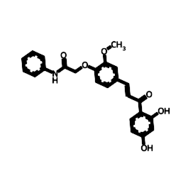 COc1cc(/C=C/C(=O)c2ccc(O)cc2O)ccc1OCC(=O)Nc1ccccc1